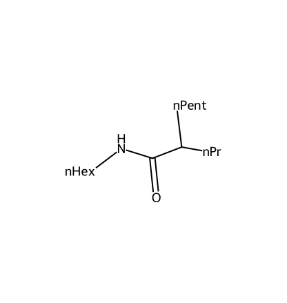 CCCCCCNC(=O)C(CCC)CCCCC